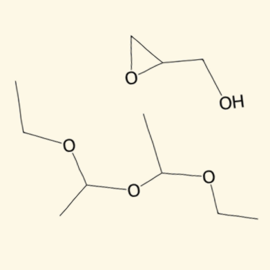 CCOC(C)OC(C)OCC.OCC1CO1